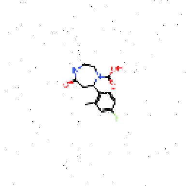 Cc1cc(F)ccc1[C@H]1CC(=O)NCCN1C(=O)O